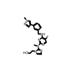 CN(c1ncc(F)c(NCc2cccc(-c3cnn(C)c3)c2)n1)c1nccn1CCO